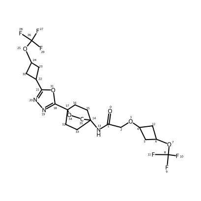 O=C(COC1CC(OC(F)(F)F)C1)NC12CCC(c3nnc(C4CC(OC(F)(F)F)C4)o3)(CC1)OC2